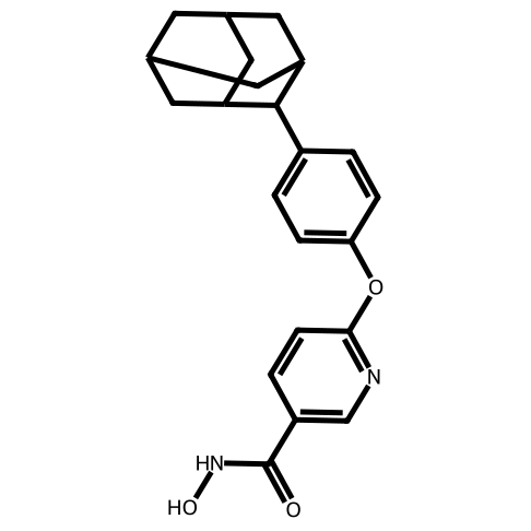 O=C(NO)c1ccc(Oc2ccc(C3C4CC5CC(C4)CC3C5)cc2)nc1